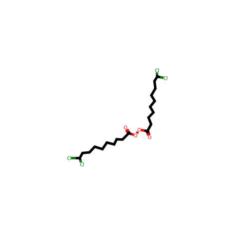 O=C(CCCCCCCCC(Cl)Cl)OOC(=O)CCCCCCCCC(Cl)Cl